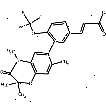 Cc1cc2c(cc1-c1cc(/C=C/C(=O)O)ccc1OC(F)(F)F)N(C)C(=O)C(C)(C)O2